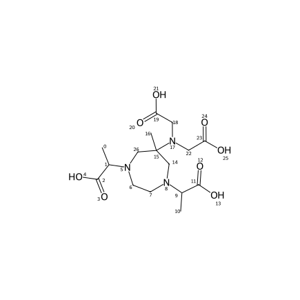 CC(C(=O)O)N1CCN(C(C)C(=O)O)CC(C)(N(CC(=O)O)CC(=O)O)C1